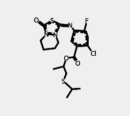 CC(CSC(C)C)OC(=O)c1cc(/N=c2/sc(=O)n3n2CCCC3)c(F)cc1Cl